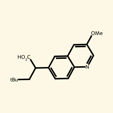 COc1cnc2ccc(C(CC(C)(C)C)C(=O)O)cc2c1